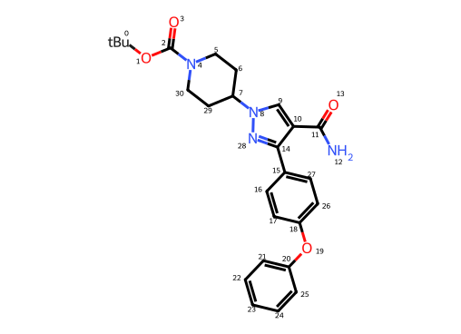 CC(C)(C)OC(=O)N1CCC(n2cc(C(N)=O)c(-c3ccc(Oc4ccccc4)cc3)n2)CC1